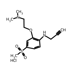 C#CCNc1ccc(S(C)(=O)=O)cc1OCCN(C)C.Cl